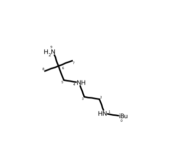 CCC(C)NCCNCC(C)(C)N